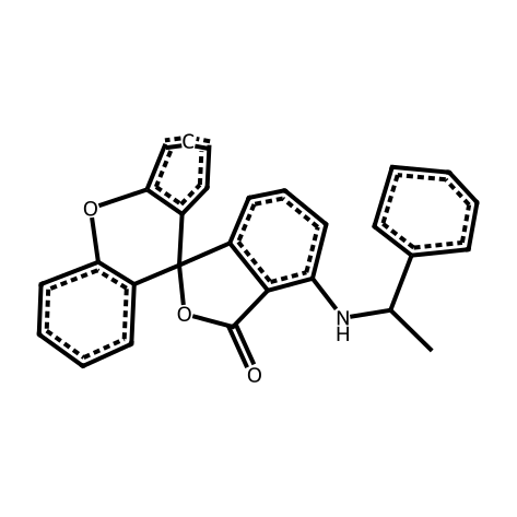 CC(Nc1cccc2c1C(=O)OC21c2ccccc2Oc2ccccc21)c1ccccc1